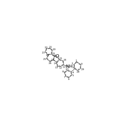 c1ccc(-c2ccccc2Nc2ccc3c(c2)oc2c4ccccc4ccc32)cc1